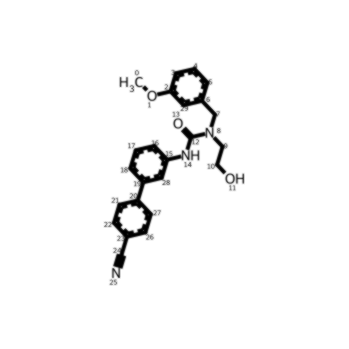 COc1cccc(CN(CCO)C(=O)Nc2cccc(-c3ccc(C#N)cc3)c2)c1